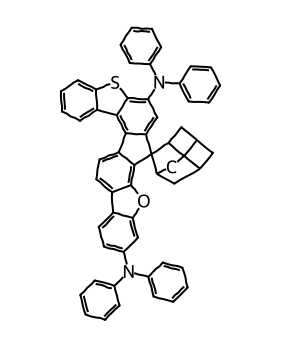 c1ccc(N(c2ccccc2)c2ccc3c(c2)oc2c4c(ccc23)-c2c(cc(N(c3ccccc3)c3ccccc3)c3sc5ccccc5c23)C42C3CC4CC5CC2C45C3)cc1